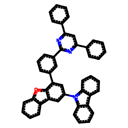 c1ccc(-c2cc(-c3ccccc3)nc(-c3cccc(-c4cc(-n5c6ccccc6c6ccccc65)cc5c4oc4ccccc45)c3)n2)cc1